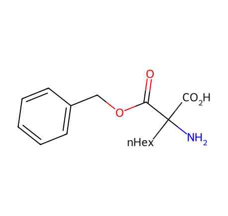 CCCCCCC(N)(C(=O)O)C(=O)OCc1ccccc1